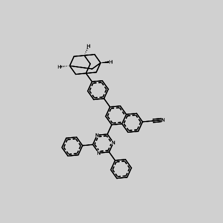 N#Cc1ccc2c(-c3nc(-c4ccccc4)nc(-c4ccccc4)n3)cc(-c3ccc(C45C[C@H]6C[C@H](C4)C[C@@H](C5)C6)cc3)cc2c1